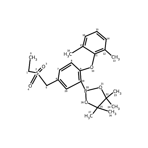 CCS(=O)(=O)Cc1ccc(Oc2c(C)cccc2C)c(B2OC(C)(C)C(C)(C)O2)c1